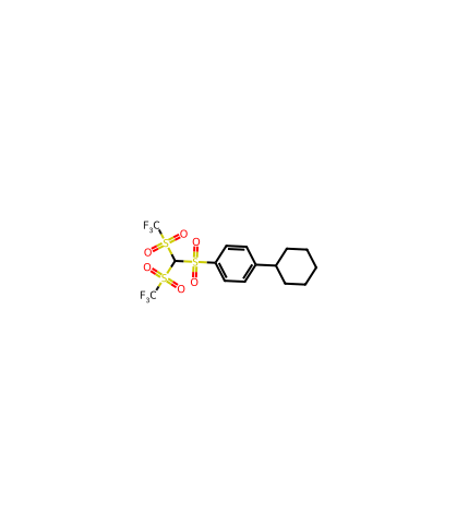 O=S(=O)(c1ccc(C2CCCCC2)cc1)C(S(=O)(=O)C(F)(F)F)S(=O)(=O)C(F)(F)F